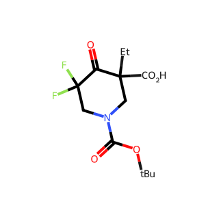 CCC1(C(=O)O)CN(C(=O)OC(C)(C)C)CC(F)(F)C1=O